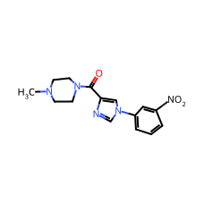 CN1CCN(C(=O)c2cn(-c3cccc([N+](=O)[O-])c3)cn2)CC1